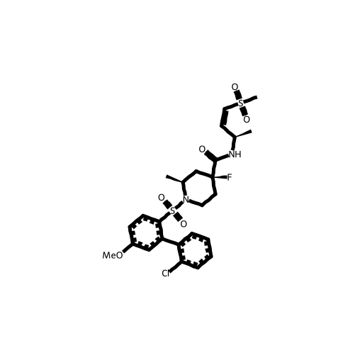 COc1ccc(S(=O)(=O)N2CC[C@@](F)(C(=O)N[C@H](C)/C=C\S(C)(=O)=O)C[C@@H]2C)c(-c2ccccc2Cl)c1